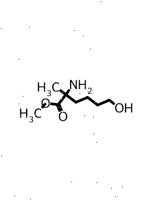 COC(=O)C(C)(N)CCCCO